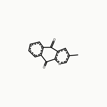 Cc1cnc2c(c1)C(=O)c1ccccc1C2=O